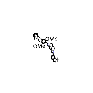 COc1cc(OCc2ccccn2)cc(OC)c1/C=C/C(=O)CC(=O)/C=C/c1ccc2ccn(C)c2c1